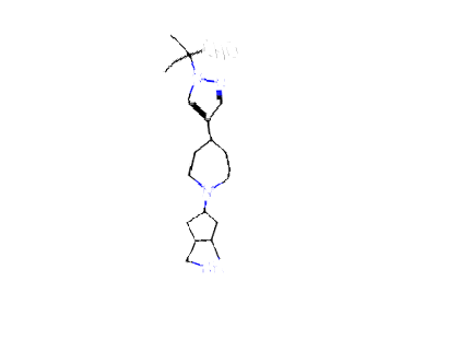 CC(C)(C=O)n1cc(C2CCN(C3CC4CNCC4C3)CC2)cn1